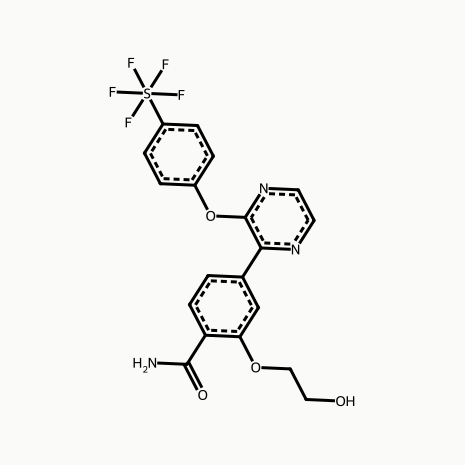 NC(=O)c1ccc(-c2nccnc2Oc2ccc(S(F)(F)(F)(F)F)cc2)cc1OCCO